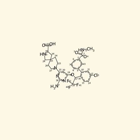 CNS(=O)(=O)c1cccc(-c2cc(Cl)ccc2C(Oc2cc(N3CCC4(CC3)CNC(C(=O)O)C4)nc(N)n2)C(F)(F)F)c1